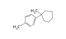 [CH2]C1(c2ccc(C)cc2)CCCCC1